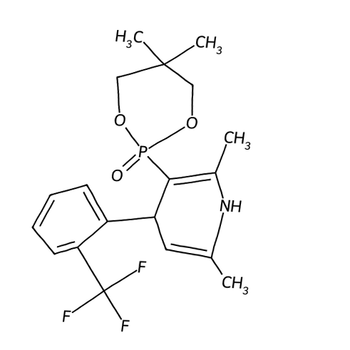 CC1=CC(c2ccccc2C(F)(F)F)C(P2(=O)OCC(C)(C)CO2)=C(C)N1